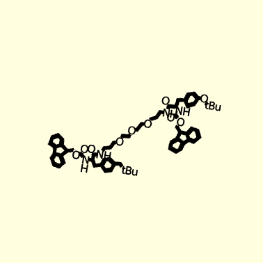 CC(C)(C)Cc1ccc(CC(NC(=O)OCC2c3ccccc3-c3ccccc32)C(=O)NCCCOCCOCCOCCCNC(=O)C(Cc2ccc(OC(C)(C)C)cc2)NC(=O)OCC2c3ccccc3-c3ccccc32)cc1